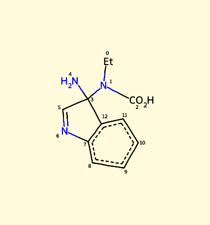 CCN(C(=O)O)C1(N)C=Nc2ccccc21